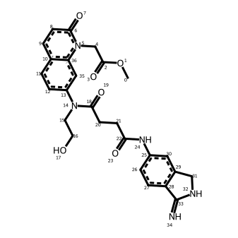 COC(=O)Cn1c(=O)ccc2ccc(N(CCO)C(=O)CCC(=O)Nc3ccc4c(c3)CNC4=N)cc21